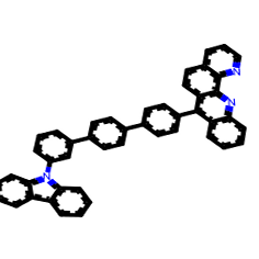 c1cc(-c2ccc(-c3ccc(-c4c5ccccc5nc5c4ccc4cccnc45)cc3)cc2)cc(-n2c3ccccc3c3ccccc32)c1